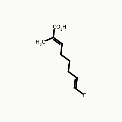 CC(=CCCCC=CF)C(=O)O